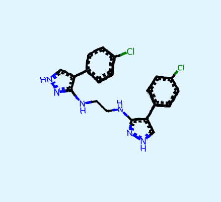 Clc1ccc(-c2c[nH]nc2NCCNc2n[nH]cc2-c2ccc(Cl)cc2)cc1